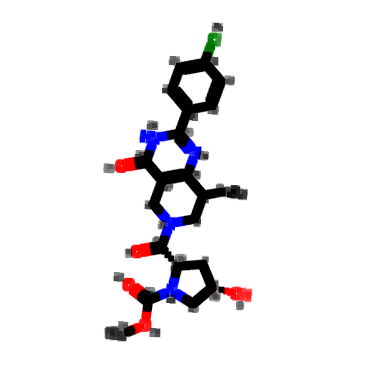 CCCCC1CN(C(=O)[C@@H]2C[C@H](O)CN2C(=O)OC(C)(C)C)Cc2c1nc(-c1ccc(Cl)cc1)[nH]c2=O